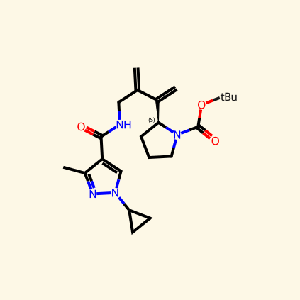 C=C(CNC(=O)c1cn(C2CC2)nc1C)C(=C)[C@@H]1CCCN1C(=O)OC(C)(C)C